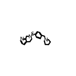 c1cnc2c(c1)CCN(Sc1ccc(CN3CCCCC3)cc1)C2